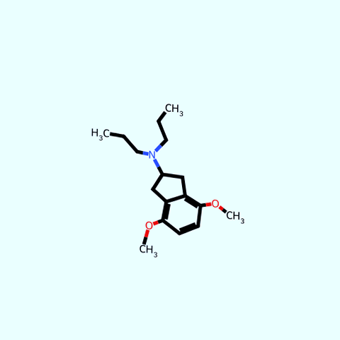 CCCN(CCC)C1Cc2c(OC)ccc(OC)c2C1